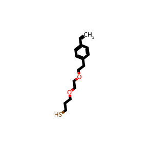 C=Cc1ccc(CCOCCOCCCS)cc1